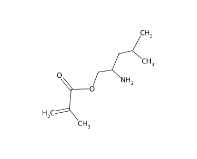 C=C(C)C(=O)OCC(N)CC(C)C